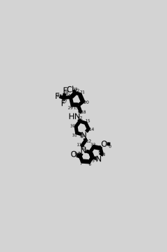 COc1cnc2ccc(=O)n(CCN3CCC(NCc4ccc(Cl)c(C(F)(F)F)c4)CC3)c2c1